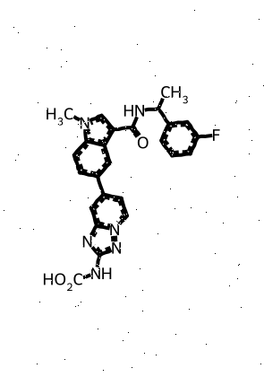 CC(NC(=O)c1cn(C)c2ccc(-c3ccn4nc(NC(=O)O)nc4c3)cc12)c1cccc(F)c1